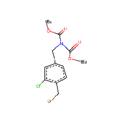 CC(C)(C)OC(=O)N(Cc1ccc(CBr)c(Cl)c1)C(=O)OC(C)(C)C